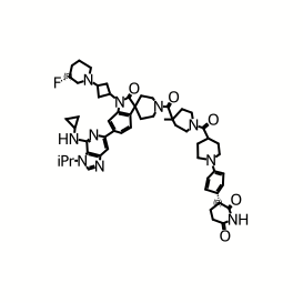 CC(C)n1cnc2cc(-c3ccc4c(c3)N(C3CC(N5CCC[C@@H](F)C5)C3)C(=O)C43CCN(C(=O)C4(C)CCN(C(=O)C5CCN(c6ccc([C@H]7CCC(=O)NC7=O)cc6)CC5)CC4)CC3)nc(NC3CC3)c21